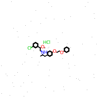 COC(CNC(C)Cc1ccc(OCCOc2ccccc2)cc1)c1cccc(Cl)c1.Cl